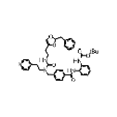 CC(C)(C)OC(=O)Nc1ccccc1NC(=O)c1ccc(CN(CCc2ccncc2)C(=O)NCCC2=COC(Cc3ccccc3)O2)cc1